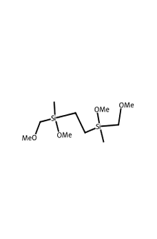 COC[Si](C)(CC[Si](C)(COC)OC)OC